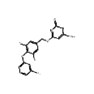 COc1cc(OCc2cc(F)c(Oc3cncc(C(F)(F)F)c3)c(F)c2)nc(=O)[nH]1